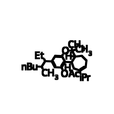 CCCCC(C)C(CC)c1cc(OC(C)=O)c2c(c1)OC(C)(C)[C@@H]1CCC=C(C(C)C)C[C@@H]21